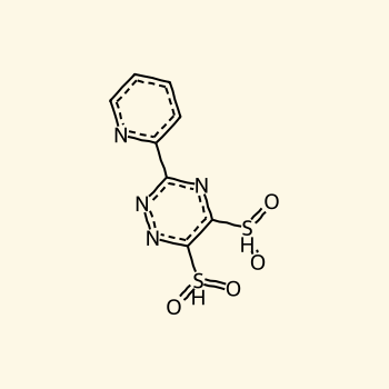 O=[SH](=O)c1nnc(-c2ccccn2)nc1[SH](=O)=O